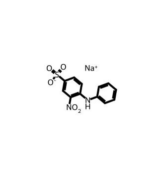 O=[N+]([O-])c1cc(S(=O)(=O)[O-])ccc1Nc1ccccc1.[Na+]